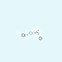 Cc1cc(NC(=O)[C@H]2CC[C@H](NC(=O)c3[nH]cnc3C(=O)Oc3ccccc3)CC2)c(Cl)cc1F